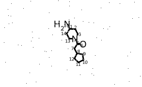 NC1CCN(C(=O)CC2CCCC2)CC1